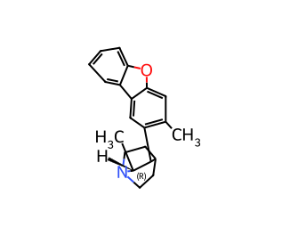 Cc1cc2oc3ccccc3c2cc1C1C2CCN(CC2)[C@@H]1C